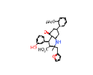 COc1ccccc1C1CC(=O)C2C(C1)NC(C)(Cc1ccco1)C(C(=O)O)C2c1cccc(O)c1